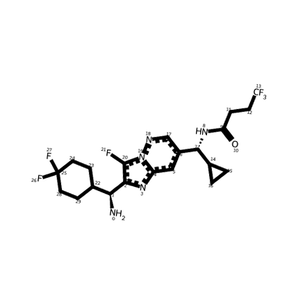 N[C@H](c1nc2cc([C@H](NC(=O)CCC(F)(F)F)C3CC3)cnn2c1F)C1CCC(F)(F)CC1